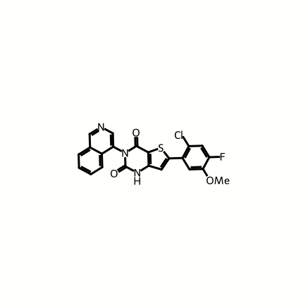 COc1cc(-c2cc3[nH]c(=O)n(-c4cncc5ccccc45)c(=O)c3s2)c(Cl)cc1F